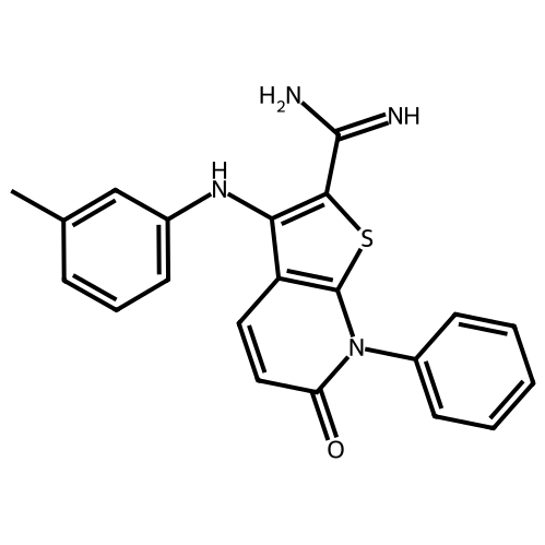 Cc1cccc(Nc2c(C(=N)N)sc3c2ccc(=O)n3-c2ccccc2)c1